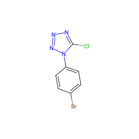 Clc1nnnn1-c1ccc(Br)cc1